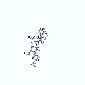 Cc1cc(C[C@@H](NS(=O)(=O)c2cccc(Cl)c2C)C(=O)O)ccc1-c1noc(C2CC2)n1